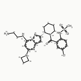 CS(=O)(=O)Nc1ccc(Cl)cc1C(=O)N1CCCC[C@H]1c1cc2nc(N3CCC3)cc(NCCN)n2n1